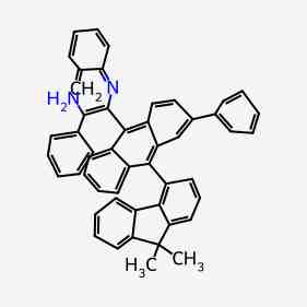 C=C1C=CC=C/C1=N/C(=C(\N)c1ccccc1)c1c2ccccc2c(-c2cccc3c2-c2ccccc2C3(C)C)c2cc(-c3ccccc3)ccc12